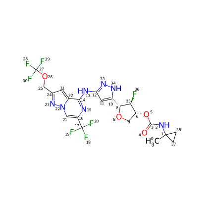 CC1(NC(=O)O[C@@H]2CO[C@H](c3cc(Nc4nc(C(F)(F)F)cn5nc(COC(F)(F)F)cc45)n[nH]3)[C@H]2F)CC1